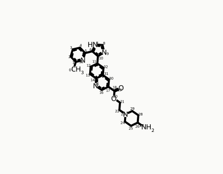 Cc1cccc(-c2[nH]cnc2-c2ccc3ncc(C(=O)OCCN4CCC(N)CC4)cc3c2)n1